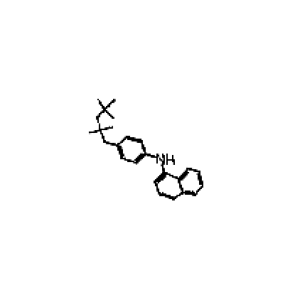 CC(C)(C)CC(C)(C)Cc1ccc(Nc2cccc3ccccc23)cc1